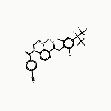 CCN(C(=O)c1ccc(C#N)cc1)c1cccc(C(=O)Cc2c(Cl)cc(C(F)(C(F)(F)F)C(F)(F)F)cc2Br)c1OC